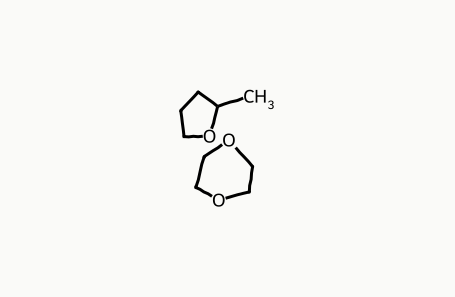 C1COCCO1.CC1CCCO1